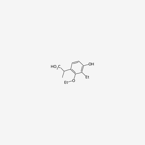 CCOc1c(C(C)C(=O)O)ccc(O)c1CC